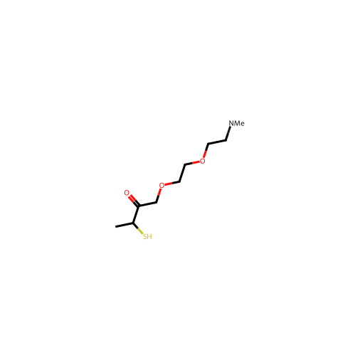 CNCCOCCOCC(=O)C(C)S